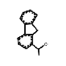 CC([O])c1cccc2c1Cc1ccccc1-2